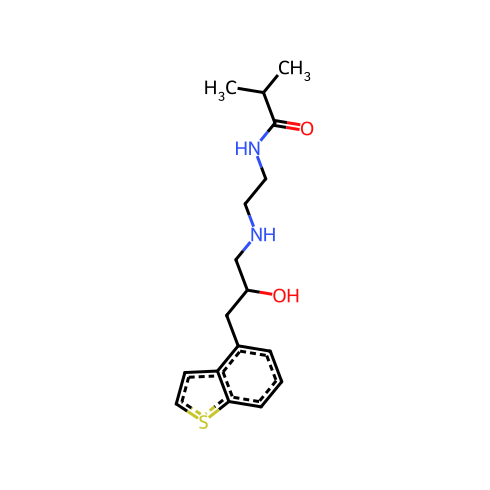 CC(C)C(=O)NCCNCC(O)Cc1cccc2sccc12